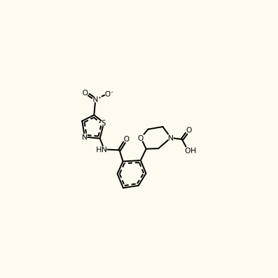 O=C(Nc1ncc([N+](=O)[O-])s1)c1ccccc1C1CN(C(=O)O)CCO1